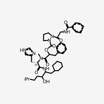 CC(C)CCC(O)C(CC1CCCCC1)NC(=O)[C@H](Cc1c[nH]cn1)N(C)C(=O)C(Cc1ccccc1)OC(=O)N1CCCN1C(=O)CNC(=O)c1ccccc1